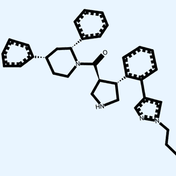 CCCn1cc(-c2ccccc2[C@@H]2CNC[C@H]2C(=O)N2CC[C@H](c3ccccc3)C[C@@H]2c2ccccc2)cn1